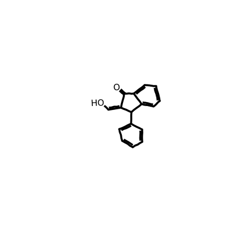 O=C1C(=CO)C(c2ccccc2)c2ccccc21